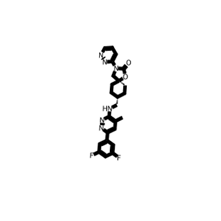 Cc1cc(-c2cc(F)cc(F)c2)nnc1NC[C@H]1CC[C@]2(CC1)CN(c1cccnn1)C(=O)O2